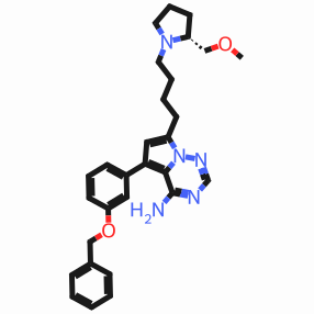 COC[C@H]1CCCN1CCCCc1cc(-c2cccc(OCc3ccccc3)c2)c2c(N)ncnn12